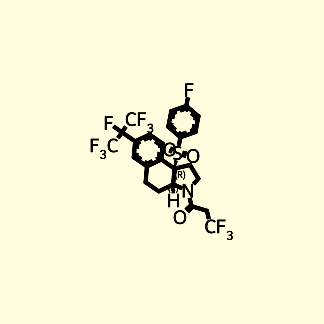 O=C(CC(F)(F)F)N1CC[C@@]2(S(=O)(=O)c3ccc(F)cc3)c3ccc(C(F)(C(F)(F)F)C(F)(F)F)cc3CC[C@@H]12